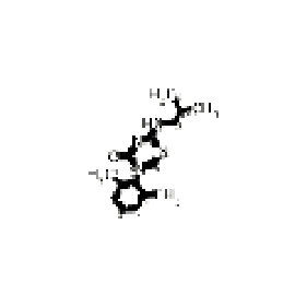 Cc1cccc(C)c1-n1cnc(NCC(C)C)nc1=O